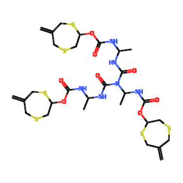 C=C1CSCC(OC(=O)NC(C)NC(=O)N(C(=O)NC(C)NC(=O)OC2CSCC(=C)CS2)C(C)NC(=O)OC2CSCC(=C)CS2)SC1